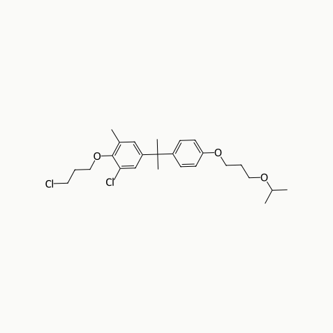 Cc1cc(C(C)(C)c2ccc(OCCCOC(C)C)cc2)cc(Cl)c1OCCCCl